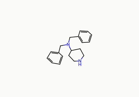 c1ccc(CN(Cc2ccccc2)C2CCNCC2)cc1